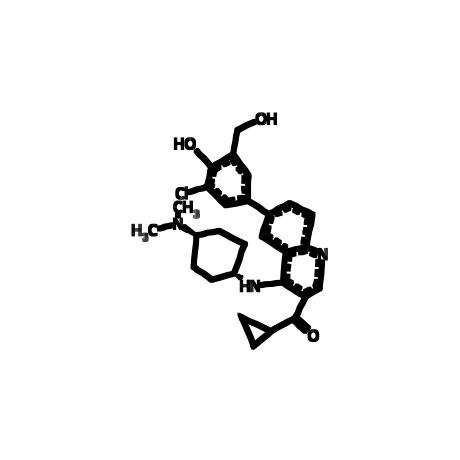 CN(C)[C@H]1CC[C@H](Nc2c(C(=O)C3CC3)cnc3ccc(-c4cc(Cl)c(O)c(CO)c4)cc23)CC1